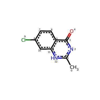 Cc1nc(=O)c2c[c]c(Cl)cc2[nH]1